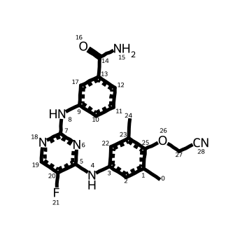 Cc1cc(Nc2nc(Nc3cccc(C(N)=O)c3)ncc2F)cc(C)c1OCC#N